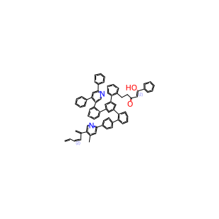 C=C/C=C\C(=C)c1cnc(-c2ccc(-c3ccccc3-c3cc(-c4ccccc4CCC(=O)/C=C(\O)c4ccccc4)cc(-c4ccccc4-c4cnc(-c5ccccc5)cc4-c4ccccc4)c3)cc2)cc1C